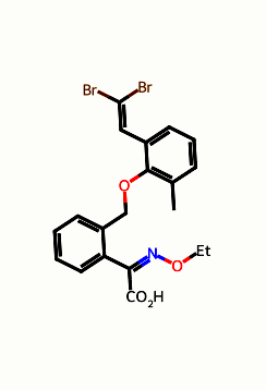 CCON=C(C(=O)O)c1ccccc1COc1c(C)cccc1C=C(Br)Br